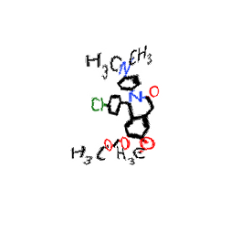 COCCOc1cc2c(cc1OC)CC(=O)N(c1ccc(N(C)C)cc1)C2c1ccc(Cl)cc1